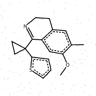 COc1cc2c(cc1C)CCN=C2C1(c2cccs2)CC1